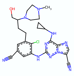 CN1CCN(C(CO)CCc2cc(C#N)cc(Nc3nc(NC4CC4)c4ncc(C#N)n4n3)c2Cl)CC1